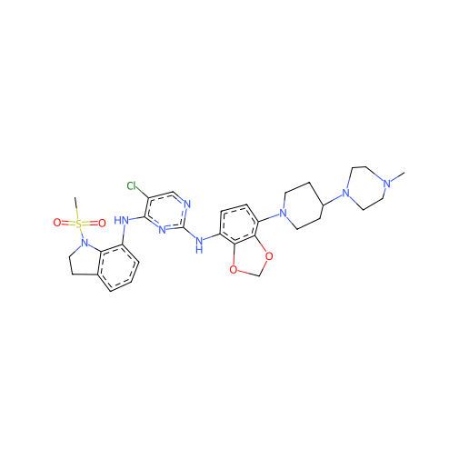 CN1CCN(C2CCN(c3ccc(Nc4ncc(Cl)c(Nc5cccc6c5N(S(C)(=O)=O)CC6)n4)c4c3OCO4)CC2)CC1